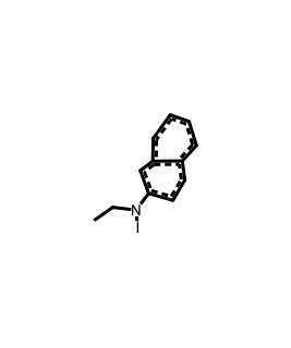 CCN(I)c1ccc2ccccc2c1